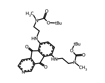 CN(CCNc1ccc(NCCN(C)C(=O)OC(C)(C)C)c2c1C(=O)c1ccncc1C2=O)C(=O)OC(C)(C)C